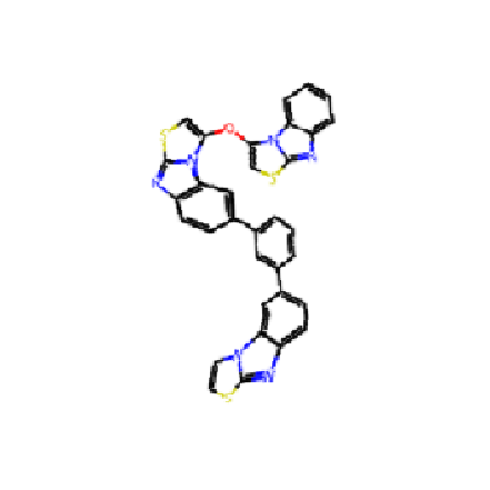 c1cc(-c2ccc3nc4sccn4c3c2)cc(-c2ccc3nc4scc(Oc5csc6nc7ccccc7n56)n4c3c2)c1